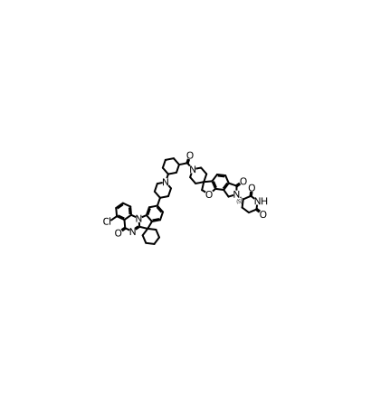 O=C1CC[C@H](N2Cc3c(ccc4c3OCC43CCN(C(=O)C4CCCC(N5CCC(c6ccc7c(c6)-n6c(nc(=O)c8c(Cl)cccc86)C76CCCCC6)CC5)C4)CC3)C2=O)C(=O)N1